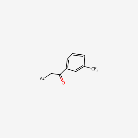 CC(=O)CC(=O)c1cccc(C(F)(F)F)c1